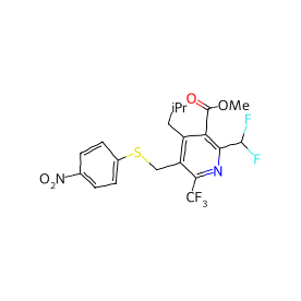 COC(=O)c1c(C(F)F)nc(C(F)(F)F)c(CSc2ccc([N+](=O)[O-])cc2)c1CC(C)C